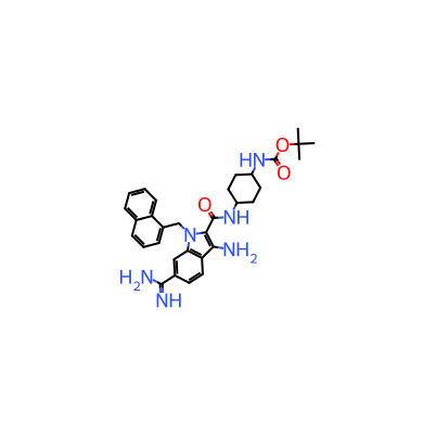 CC(C)(C)OC(=O)NC1CCC(NC(=O)c2c(N)c3ccc(C(=N)N)cc3n2Cc2cccc3ccccc23)CC1